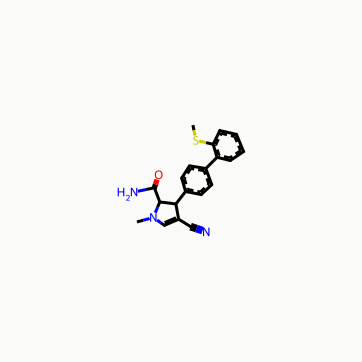 CSc1ccccc1-c1ccc(C2C(C#N)=CN(C)C2C(N)=O)cc1